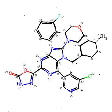 C[C@H]1CC[C@H](Cn2c(N3CCOC[C@H]3c3ccccc3F)nc3nc(-c4n[nH]c(=O)o4)nc(-c4cncc(Cl)c4)c32)CC1